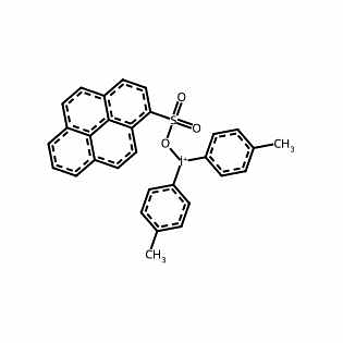 Cc1ccc([I+](OS(=O)(=O)c2ccc3ccc4cccc5ccc2c3c45)c2ccc(C)cc2)cc1